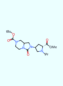 COC(=O)[C@H]1C[C@H](N2CC3CN(C(=O)OC(C)(C)C)CCN3C2=O)CN1C(C)C